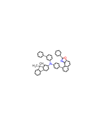 CC1(C)c2ccccc2-c2ccc(N(c3ccc(-c4cccc5ccc6oc(-c7ccccc7)nc6c45)cc3)c3cccc(-c4ccccc4)c3)cc21